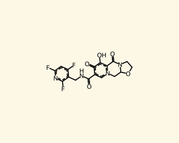 O=C(NCc1c(F)cc(F)nc1F)c1cn2c(c(O)c1=O)C(=O)N1CCOC1C2